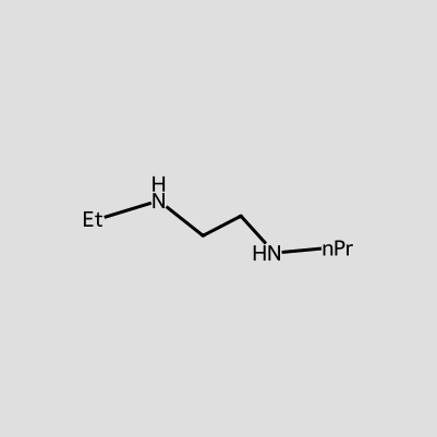 [CH2]CCNCCNC[CH2]